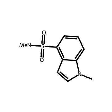 CNS(=O)(=O)c1cccc2c1ccn2C